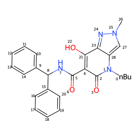 CCCCn1c(=O)c(C(=O)NC(c2ccccc2)c2ccccc2)c(O)c2nn(C)cc21